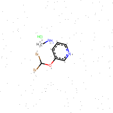 BrC(Br)Oc1cccnc1.CN.Cl